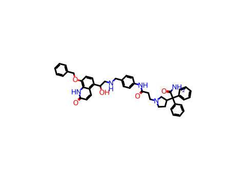 NC(=O)C(c1ccccc1)(c1ccccc1)C1CCN(CCC(=O)Nc2ccc(CNCC(O)c3ccc(OCc4ccccc4)c4[nH]c(=O)ccc34)cc2)C1